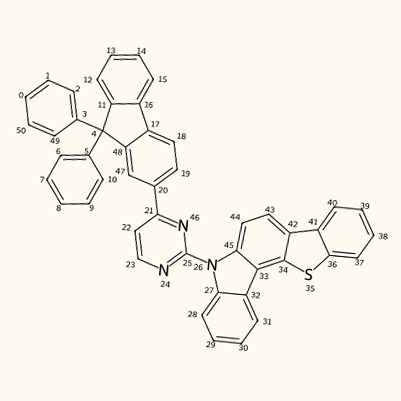 c1ccc(C2(c3ccccc3)c3ccccc3-c3ccc(-c4ccnc(-n5c6ccccc6c6c7sc8ccccc8c7ccc65)n4)cc32)cc1